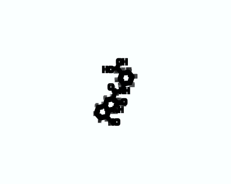 O=Nc1cccc2cc(C(=O)Nc3cccc(C(O)O)c3)c(=O)[nH]c12